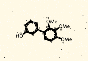 COc1ccc(-c2cccc(O)c2)c(OC)c1OC